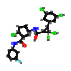 O=C(Nc1cc[c]c(F)c1)c1cc(NC(=O)C2C(c3cc(Cl)cc(Cl)c3)C2(Cl)Cl)ccc1Cl